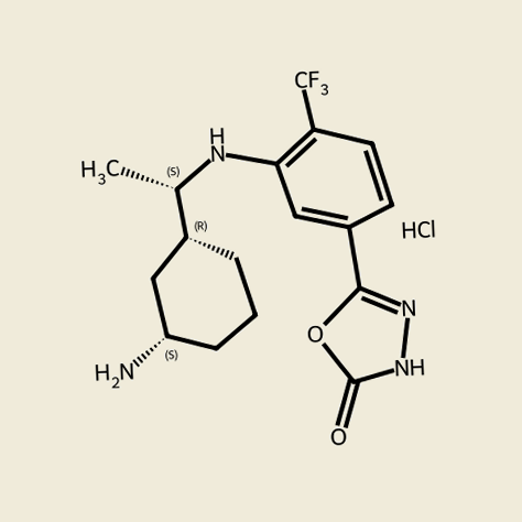 C[C@H](Nc1cc(-c2n[nH]c(=O)o2)ccc1C(F)(F)F)[C@@H]1CCC[C@H](N)C1.Cl